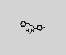 Cc1ccc(C(N)CCCc2ccccc2)cc1